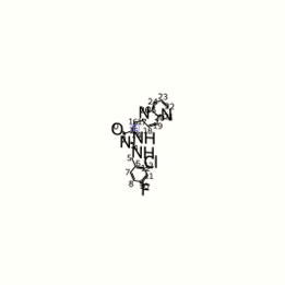 O=C1N=C(NCc2ccc(F)cc2Cl)N/C1=C\c1ccc2ncccc2n1